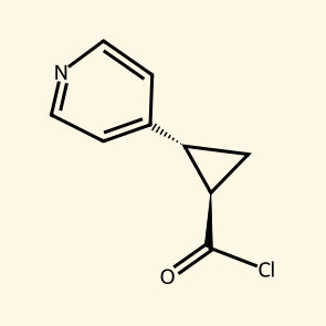 O=C(Cl)[C@@H]1C[C@H]1c1ccncc1